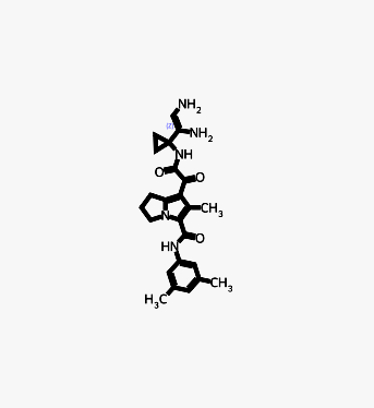 Cc1cc(C)cc(NC(=O)c2c(C)c(C(=O)C(=O)NC3(/C(N)=C/N)CC3)c3n2CCC3)c1